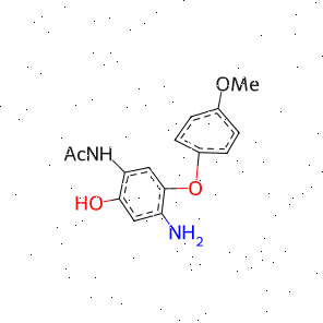 COc1ccc(Oc2cc(NC(C)=O)c(O)cc2N)cc1